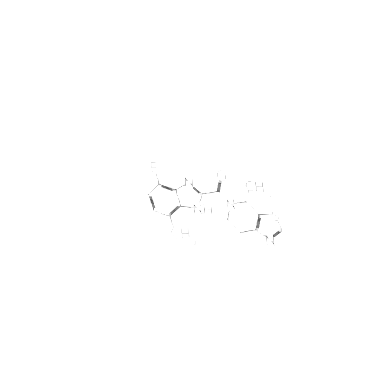 Cc1ccc(F)c2nc(C(=O)N3CCc4ncsc4[C@H]3C)[nH]c12